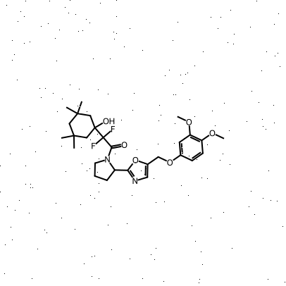 COc1ccc(OCc2cnc(C3CCCN3C(=O)C(F)(F)C3(O)CC(C)(C)CC(C)(C)C3)o2)cc1OC